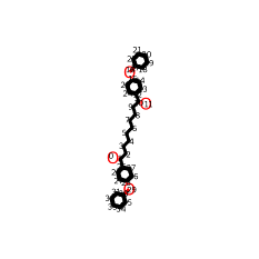 O=C(CCCCCCCCC(=O)c1ccc(Oc2ccccc2)cc1)c1ccc(Oc2ccccc2)cc1